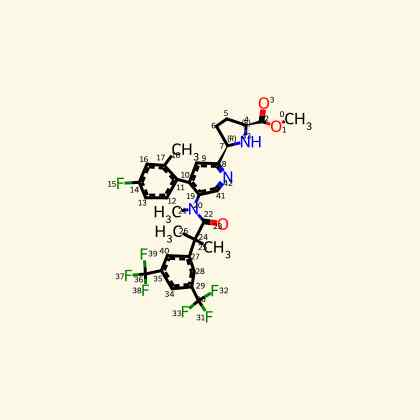 COC(=O)[C@@H]1CC[C@H](c2cc(-c3ccc(F)cc3C)c(N(C)C(=O)C(C)(C)c3cc(C(F)(F)F)cc(C(F)(F)F)c3)cn2)N1